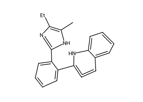 CCc1nc(-c2ccccc2C2=C=Cc3ccccc3N2)[nH]c1C